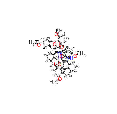 COc1cccc(CC(O)(Cc2cccc(OC)c2)[C@@H](NC(=O)C2(C(=O)N[C@@H](c3cccc4ccccc34)C(O)(Cc3cccc(OC)c3)Cc3cccc(OC)c3)CCC2)c2cccc3ccccc23)c1